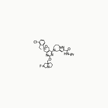 CC(C)NC(=O)c1cc2n(n1)CCCN(c1nc(OC[C@@]34CCCN3C[C@H](F)C4)nc3c1CO[C@@]1(CCc4c(Cl)cccc41)C3)C2